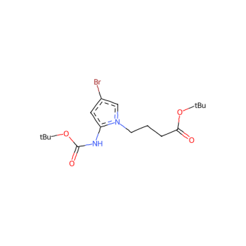 CC(C)(C)OC(=O)CCCn1cc(Br)cc1NC(=O)OC(C)(C)C